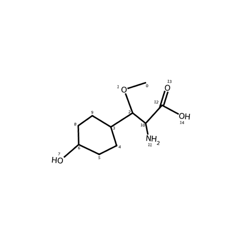 COC(C1CCC(O)CC1)C(N)C(=O)O